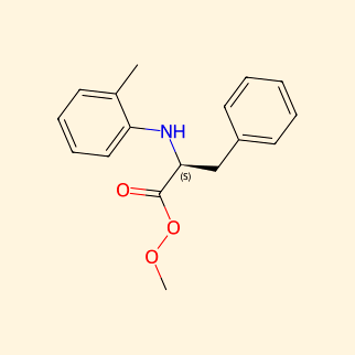 COOC(=O)[C@H](Cc1ccccc1)Nc1ccccc1C